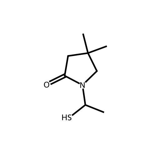 CC(S)N1CC(C)(C)CC1=O